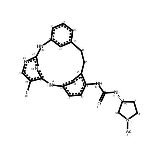 CC(=O)N1CC[C@@H](NC(=O)Nc2ccc3cc2CCc2cccc(c2)Nc2ncc(Cl)c(n2)N3)C1